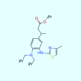 Cc1csc(Nc2cc(C(C)CC(=O)OC(C)C)ccc2N(CC(C)C)CC(C)C)n1